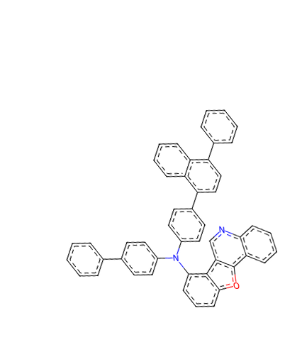 c1ccc(-c2ccc(N(c3ccc(-c4ccc(-c5ccccc5)c5ccccc45)cc3)c3cccc4oc5c6ccccc6ncc5c34)cc2)cc1